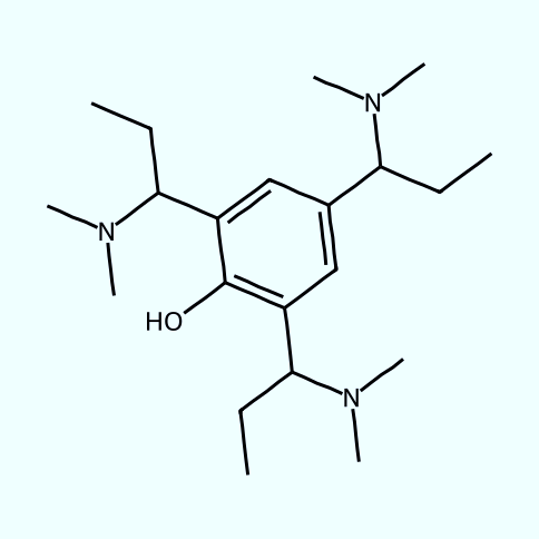 CCC(c1cc(C(CC)N(C)C)c(O)c(C(CC)N(C)C)c1)N(C)C